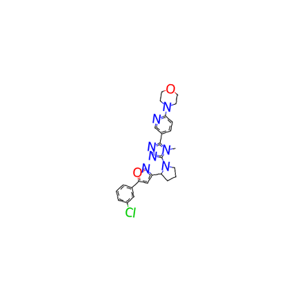 Cn1c(-c2ccc(N3CCOCC3)nc2)nnc1N1CCCC1c1cc(-c2cccc(Cl)c2)on1